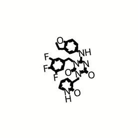 O=c1[nH]cccc1Cn1c(=O)nc(Nc2ccc3c(c2)CCO3)n(Cc2cc(F)c(F)c(F)c2)c1=O